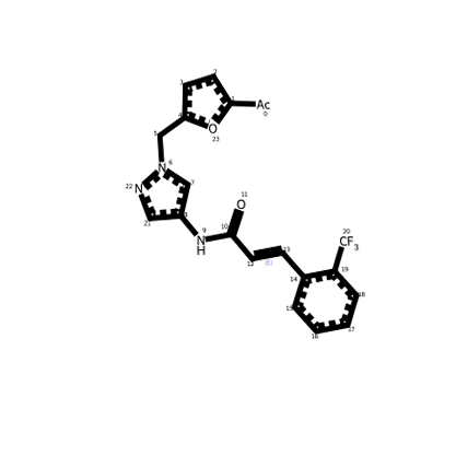 CC(=O)c1ccc(Cn2cc(NC(=O)/C=C/c3ccccc3C(F)(F)F)cn2)o1